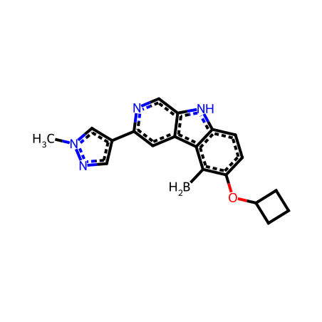 Bc1c(OC2CCC2)ccc2[nH]c3cnc(-c4cnn(C)c4)cc3c12